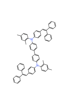 Cc1ccc(N(c2ccc(C=C(c3ccccc3)c3ccccc3)cc2)c2ccc(-c3ccc(N(c4ccc(C=C(c5ccccc5)c5ccccc5)cc4)c4ccc(C)cc4C)cc3)cc2)c(C)c1